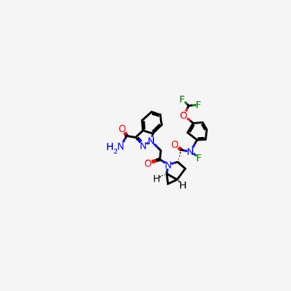 NC(=O)c1nn(CC(=O)N2[C@@H]3C[C@@H]3C[C@H]2C(=O)N(F)c2cccc(OC(F)F)c2)c2ccccc12